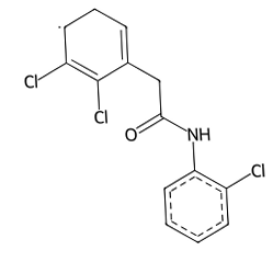 O=C(CC1=CC[CH]C(Cl)=C1Cl)Nc1ccccc1Cl